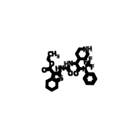 CCOC(=O)c1c(NC(=O)NC(C(=O)N(c2ccccc2)C(F)(F)F)C2CCNCC2)sc2c1CCCC2